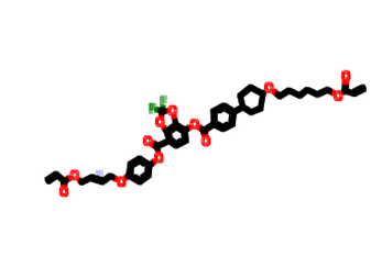 C=CC(=O)OC/C=C/COc1ccc(OC(=O)c2ccc(OC(=O)c3ccc(C4CCC(OCCCCCCOC(=O)C=C)CC4)cc3)c3c2OC(F)(F)O3)cc1